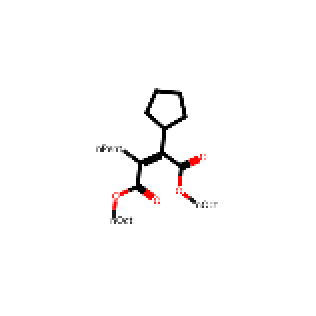 CCCCCCCCOC(=O)/C(CCCCC)=C(\C(=O)OCCCCCCCC)C1CCCC1